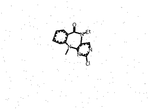 CCN1C(=O)c2ccccc2N(C)c2nc(Cl)ncc21